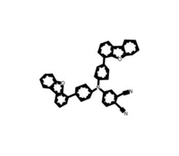 N#Cc1ccc(N(c2ccc(-c3cccc4c3oc3ccccc34)cc2)c2ccc(-c3cccc4c3oc3ccccc34)cc2)cc1C#N